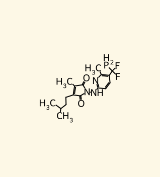 CC1=C(CCC(C)C)C(=O)N(Nc2ccc(C(F)(F)P)c(C)n2)C1=O